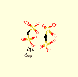 O=S(=O)([O-])CS(=O)(=O)[O-].O=S(=O)([O-])CS(=O)(=O)[O-].[Zn+2].[Zn+2]